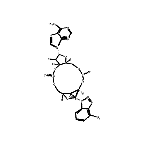 Nc1ncnc2c1ncn2[C@@H]1O[C@@H]2COP(S)O[C@@H]3[C@H](O)[C@@H](CO[PH](=O)O[C@H]2[C@H]1F)O[C@H]3n1nnc2c(C(F)(F)F)cccc21